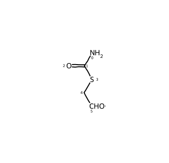 NC(=O)SC[C]=O